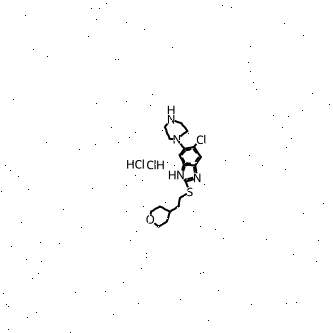 Cl.Cl.Clc1cc2nc(SCCC3CCOCC3)[nH]c2cc1N1CCNCC1